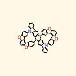 c1ccc2c(c1)c1ccccc1n2-c1ccc2oc3ccc4oc5ccc(C6CCC(c7ccc8oc9ccc%10oc%11ccc(-n%12c%13ccccc%13c%13ccccc%13%12)cc%11c%10c9c8c7)CC6)cc5c4c3c2c1